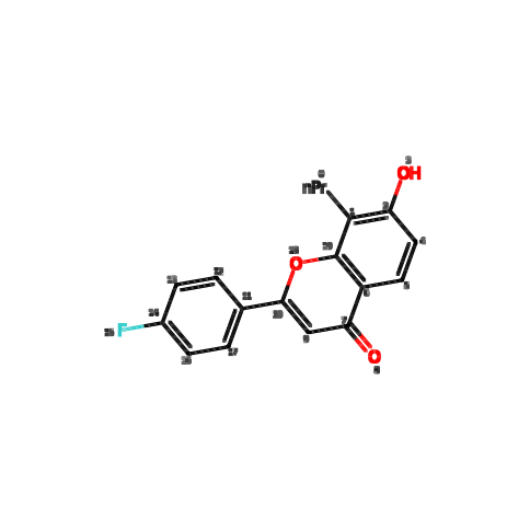 CCCc1c(O)ccc2c(=O)cc(-c3ccc(F)cc3)oc12